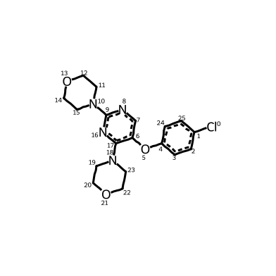 Clc1ccc(Oc2cnc(N3CCOCC3)nc2N2CCOCC2)cc1